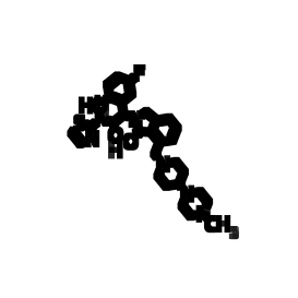 CN1CCN(C2CCN(Cc3cccc4c3C(=O)N(C(c3cc(F)ccc3O)C(O)Nc3nccs3)C4)CC2)CC1